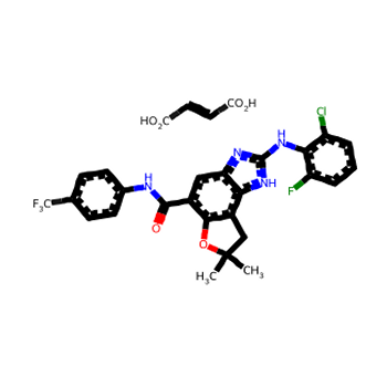 CC1(C)Cc2c(c(C(=O)Nc3ccc(C(F)(F)F)cc3)cc3nc(Nc4c(F)cccc4Cl)[nH]c23)O1.O=C(O)C=CC(=O)O